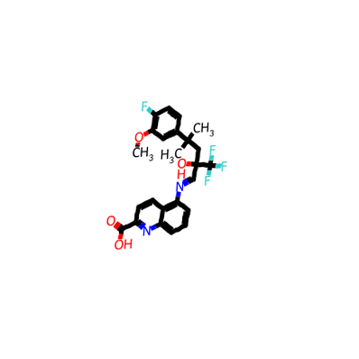 COc1cc(C(C)(C)CC(O)(C=Nc2cccc3nc(C(=O)O)ccc23)C(F)(F)F)ccc1F